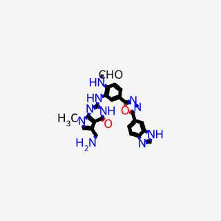 Cn1cc(CN)c2c(=O)[nH]c(Nc3cc(-c4nnc(-c5ccc6nc[nH]c6c5)o4)ccc3NC=O)nc21